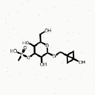 CP(=O)(O)OC1C(O)C(CO)OC(OCC23CC2(O)C3)C1O